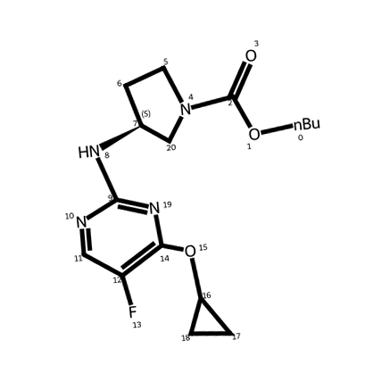 CCCCOC(=O)N1CC[C@H](Nc2ncc(F)c(OC3CC3)n2)C1